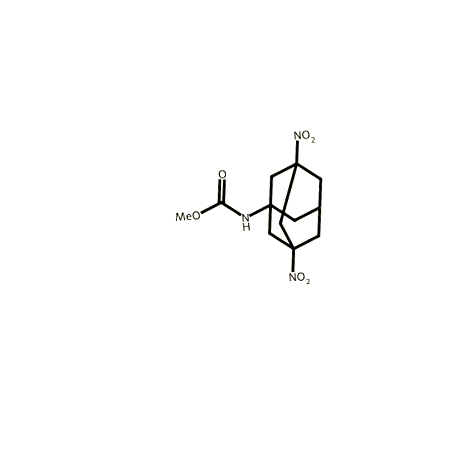 COC(=O)NC12CC3CC([N+](=O)[O-])(C1)CC([N+](=O)[O-])(C3)C2